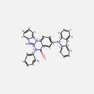 O=c1c2cc(-n3c4ccccc4c4ccccc43)ccc2n2c3ccccc3nc2n1-c1ccccc1